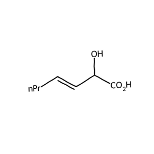 CCCC=CC(O)C(=O)O